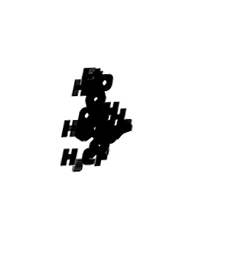 CCC(=O)NC1CCC(NC(=O)C2=C(C)NC(c3cc(C)c(F)cc3OCC3CC3)c3cc[nH]c32)CC1